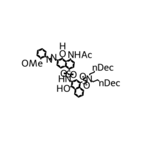 CCCCCCCCCCCCN(CCCCCCCCCCCC)S(=O)(=O)c1cc(NS(=O)(=O)c2ccc(NC(C)=O)c3c(O)c(/N=N/c4ccccc4OC)ccc23)c(O)c2ccccc12